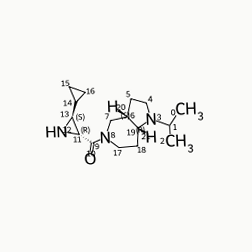 CC(C)N1CC[C@H]2CN(C(=O)[C@@H]3N[C@H]3C3CC3)CC[C@H]21